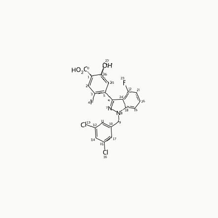 O=C(O)c1cc(F)c(-c2nn(Cc3cc(Cl)cc(Cl)c3)c3cccc(F)c23)cc1O